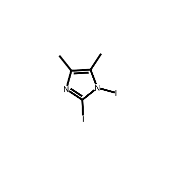 Cc1nc(I)n(I)c1C